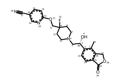 Cc1c([C@@H](O)CN2CCC(F)(COc3ccc(C#N)cn3)CC2)ccc2c1COC2=O